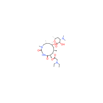 CCN(CC)CC(=O)O[C@H]1[C@H](C)[C@@H](O[C@@H]2O[C@H](C)C[C@H](N(C)C)[C@H]2O)[C@](C)(O)C[C@@H](C)CN(C)C(=O)CNC(=O)[C@@H]1C